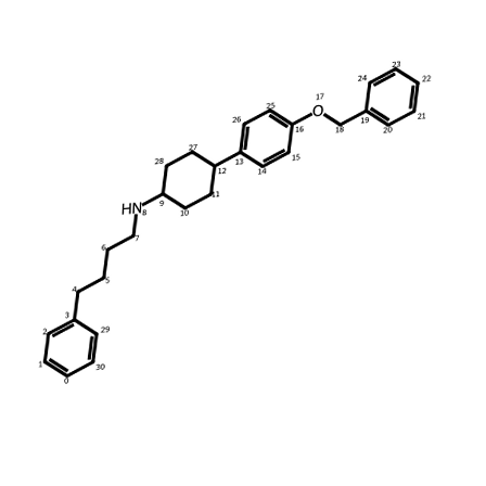 c1ccc(CCCCNC2CCC(c3ccc(OCc4ccccc4)cc3)CC2)cc1